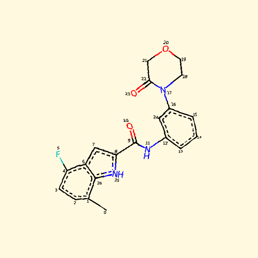 Cc1ccc(F)c2cc(C(=O)Nc3cccc(N4CCOCC4=O)c3)[nH]c12